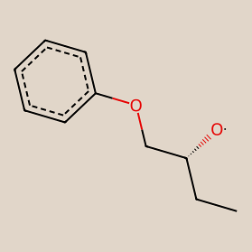 CC[C@@H]([O])COc1ccccc1